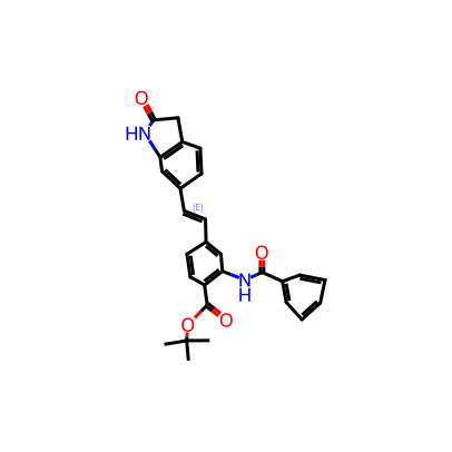 CC(C)(C)OC(=O)c1ccc(/C=C/c2ccc3c(c2)NC(=O)C3)cc1NC(=O)c1ccccc1